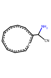 N#CC(N)c1ccccccccc1